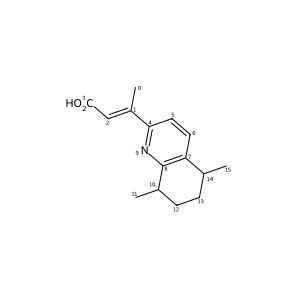 CC(=CC(=O)O)c1ccc2c(n1)C(C)CCC2C